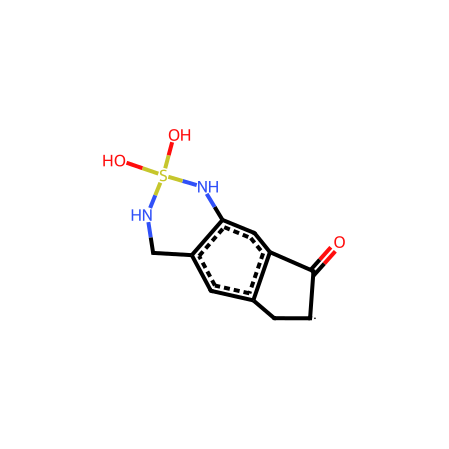 O=C1[CH]Cc2cc3c(cc21)NS(O)(O)NC3